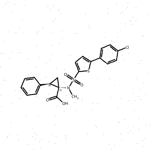 CN([C@@]1(C(=O)O)C[C@@H]1c1ccccc1)S(=O)(=O)c1ccc(-c2ccc(Cl)cc2)s1